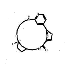 O=C1NCC2CC[C@@H](C2)OCCCNc2cc(ccn2)-c2nc1cs2